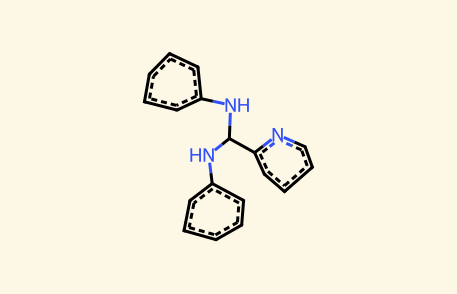 c1ccc(NC(Nc2ccccc2)c2ccccn2)cc1